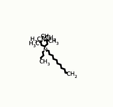 C=CCCCCCCCCCN(CCCC)C1CC(C)(C)N(C)C(C)(C)C1